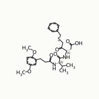 COc1ccc(OC)c(CCC(=O)N[C@H](C(=O)N[C@@H](CC(=O)O)C(=O)CSCc2ccccc2)C(C)C)c1